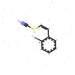 N#CS/C=C\c1ccccc1I